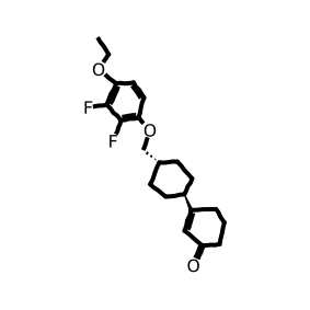 CCOc1ccc(OC[C@H]2CC[C@H](C3=CC(=O)CCC3)CC2)c(F)c1F